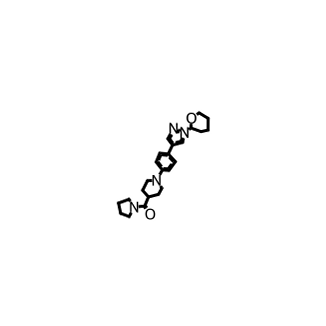 O=C(C1CCN(c2ccc(-c3cnn(C4CCCCO4)c3)cc2)CC1)N1CCCC1